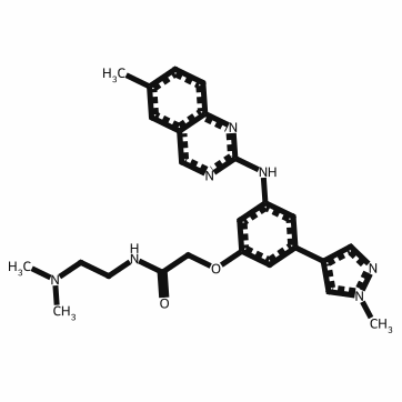 Cc1ccc2nc(Nc3cc(OCC(=O)NCCN(C)C)cc(-c4cnn(C)c4)c3)ncc2c1